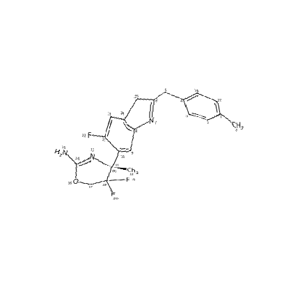 Cc1ccc(CC2=Nc3cc([C@@]4(C)N=C(N)OCC4(F)F)c(F)cc3C2)cc1